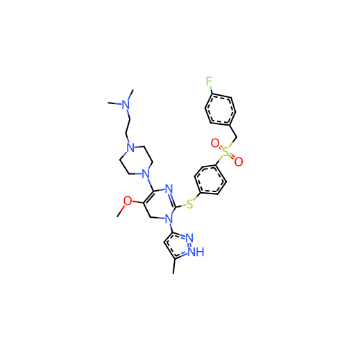 COC1=C(N2CCN(CCN(C)C)CC2)N=C(Sc2ccc(S(=O)(=O)Cc3ccc(F)cc3)cc2)N(c2cc(C)[nH]n2)C1